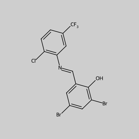 Oc1c(Br)cc(Br)cc1C=Nc1cc(C(F)(F)F)ccc1Cl